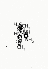 CCOC(=O)ON1CCC(Nc2nc(N[C@H]3CC[C@H](N)CC3)nc3c2ncn3C(C)C)CC1